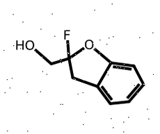 OCC1(F)Cc2ccccc2O1